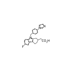 O=C(O)CC1CCc2c(n(Cc3ccc(-n4ccnc4)cc3)c3ccc(F)cc23)C1